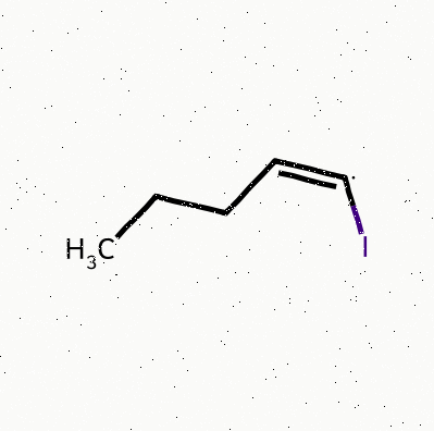 CCC/C=[C]\I